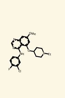 CCN1CCC(Oc2cc(OC)cc3ncnc(Nc4ccc(F)c(Cl)c4)c23)CC1